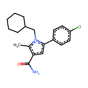 Cc1c(C(N)=O)cc(-c2ccc(Cl)cc2)n1CC1CCCCC1